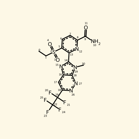 CCS(=O)(=O)c1ccc(C(N)=O)nc1-c1nc2cc(C(F)(F)C(F)(F)F)nnc2n1C